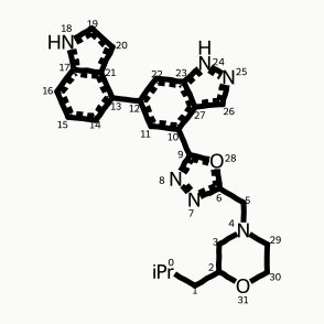 CC(C)CC1CN(Cc2nnc(-c3cc(-c4cccc5[nH]ccc45)cc4[nH]ncc34)o2)CCO1